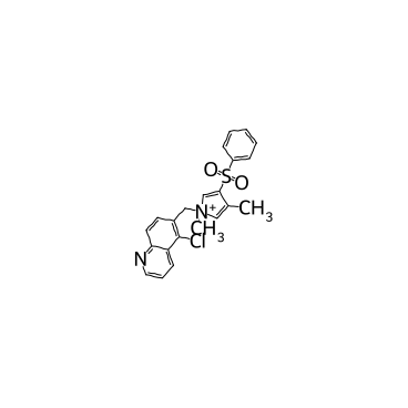 CC1=C[N+](C)(Cc2ccc3ncccc3c2Cl)C=C1S(=O)(=O)c1ccccc1